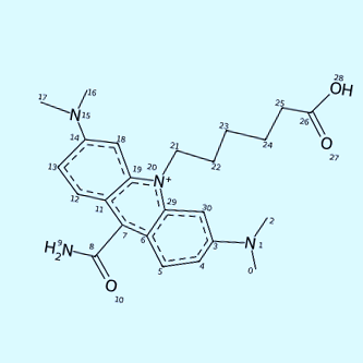 CN(C)c1ccc2c(C(N)=O)c3ccc(N(C)C)cc3[n+](CCCCCC(=O)O)c2c1